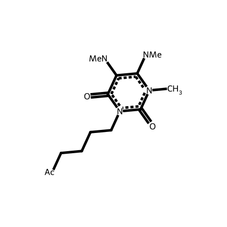 CNc1c(NC)n(C)c(=O)n(CCCCC(C)=O)c1=O